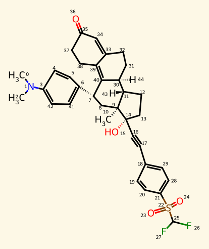 CN(C)c1ccc([C@H]2C[C@@]3(C)[C@@H](CC[C@@]3(O)C#Cc3ccc(S(=O)(=O)C(F)F)cc3)[C@@H]3CCC4=CC(=O)CCC4=C32)cc1